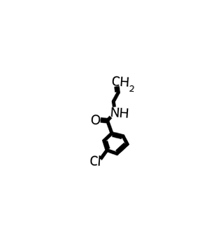 C=CCNC(=O)c1cccc(Cl)c1